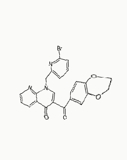 O=C(c1ccc2c(c1)OCCO2)c1cn(Cc2cccc(Br)n2)c2ncccc2c1=O